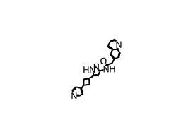 O=C(Cc1ccc2ncccc2c1)Nc1cc(C2CC(c3ccncc3)C2)[nH]n1